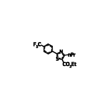 CCCc1nc(-c2ccc(C(F)(F)F)cc2)sc1C(=O)OCC